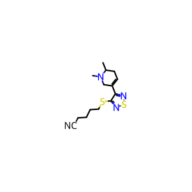 CC1CC=C(c2nsnc2SCCCCC#N)CN1C